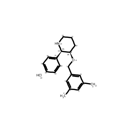 Cc1cc(C)cc(CO[C@@H]2CCCN[C@@H]2c2ccccc2)c1.Cl